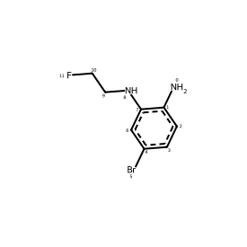 Nc1ccc(Br)cc1NCCF